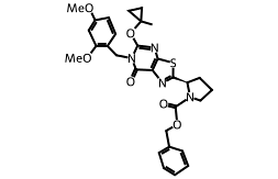 COc1ccc(Cn2c(OC3(C)CC3)nc3sc([C@H]4CCCN4C(=O)OCc4ccccc4)nc3c2=O)c(OC)c1